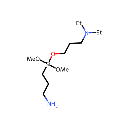 CCN(CC)CCCO[Si](CCCN)(OC)OC